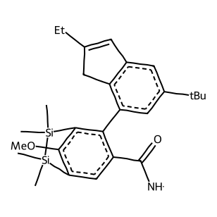 CCC1=Cc2cc(C(C)(C)C)cc(-c3c(C([NH])=O)cc4c(OC)c3[Si](C)(C)[Si]4(C)C)c2C1